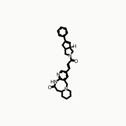 O=C1CC2CCCCN2Cc2cc(/C=C/C(=O)N3CC4CC(c5ccccc5)=C[C@@H]4C3)cnc2N1